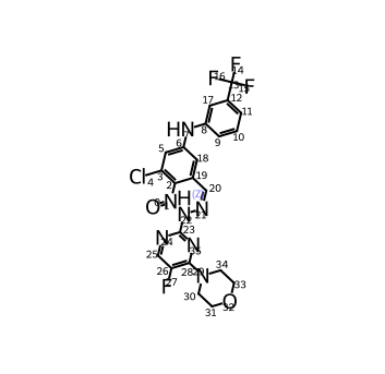 O=Nc1c(Cl)cc(Nc2cccc(C(F)(F)F)c2)cc1/C=N\Nc1ncc(F)c(N2CCOCC2)n1